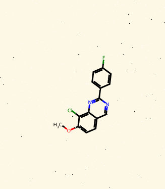 COc1ccc2[c]nc(-c3ccc(F)cc3)nc2c1Cl